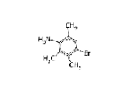 Cc1cc(Br)c(C)c(C)c1N